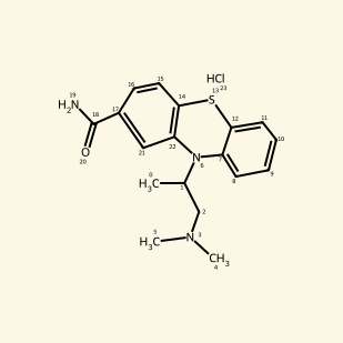 CC(CN(C)C)N1c2ccccc2Sc2ccc(C(N)=O)cc21.Cl